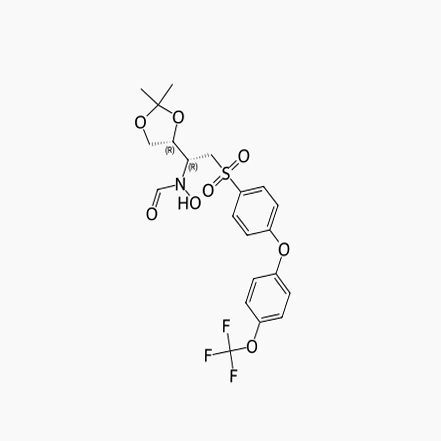 CC1(C)OC[C@@H]([C@H](CS(=O)(=O)c2ccc(Oc3ccc(OC(F)(F)F)cc3)cc2)N(O)C=O)O1